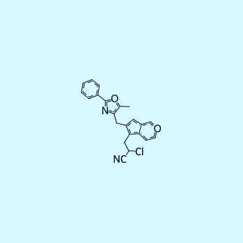 Cc1oc(-c2ccccc2)nc1Cc1cc2coccc-2c1CC(Cl)C#N